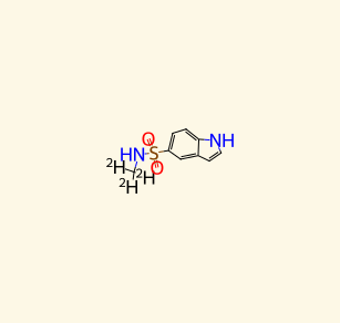 [2H]C([2H])([2H])NS(=O)(=O)c1ccc2[nH]ccc2c1